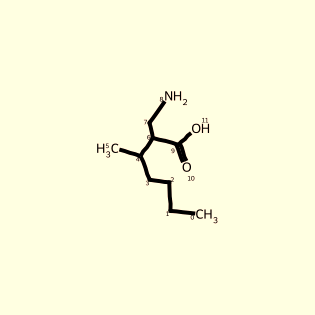 CCCCC(C)C(CN)C(=O)O